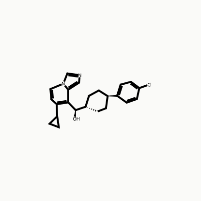 O[C@@H](c1c(C2CC2)ccn2cncc12)[C@H]1CC[C@H](c2ccc(Cl)cc2)CC1